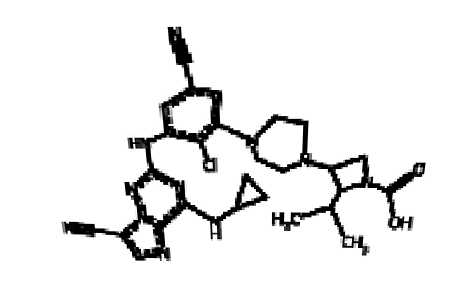 CC(C)C1C(N2CCN(c3cc(C#N)cc(Nc4nc(NC5CC5)c5ncc(C#N)n5n4)c3Cl)CC2)CN1C(=O)O